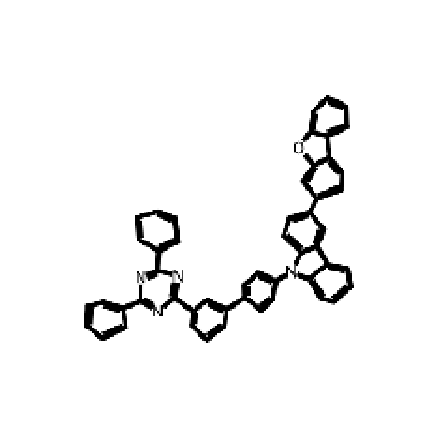 c1ccc(-c2nc(-c3ccccc3)nc(-c3cccc(-c4ccc(-n5c6ccccc6c6cc(-c7ccc8c(c7)oc7ccccc78)ccc65)cc4)c3)n2)cc1